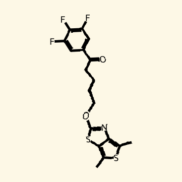 Cc1sc(C)c2sc(OCCCCC(=O)c3cc(F)c(F)c(F)c3)nc12